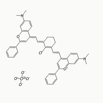 CN(C)c1ccc2c(c1)OC(c1ccccc1)=C/C2=C\C=C1/CCCC(/C=C/c2cc(-c3ccccc3)[o+]c3cc(N(C)C)ccc23)=C1Cl.[O-][Cl+3]([O-])([O-])[O-]